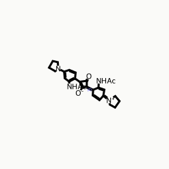 CC(=O)NC1=CC(=[N+]2CCCC2)C=C/C1=C1/C(=O)C(c2ccc(N3CCCC3)cc2NC(C)=O)=C1[O-]